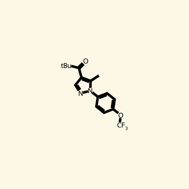 Cc1c(C(=O)C(C)(C)C)cnn1-c1ccc(OC(F)(F)F)cc1